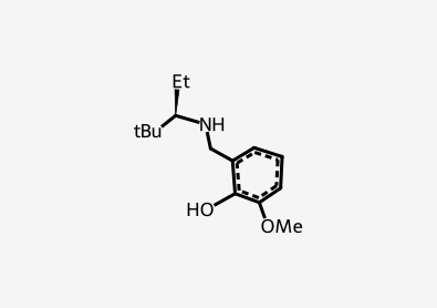 CC[C@@H](NCc1cccc(OC)c1O)C(C)(C)C